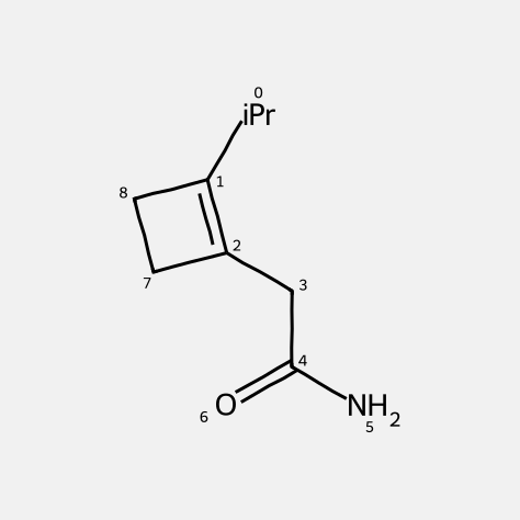 CC(C)C1=C(CC(N)=O)CC1